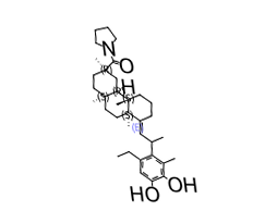 CCc1cc(O)c(O)c(C)c1C(C)/C=C1\CCC[C@@]2(C)[C@@H]3C[C@](C)(C(=O)N4CCCC4)CC[C@]3(C)CC[C@]12C